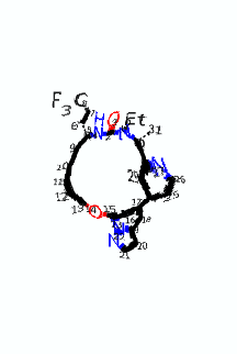 CCN1C(=O)N[C@@H](CCC(F)(F)F)CCCCCOc2cc(cc3ccnn23)-c2ccnc(c2)[C@H]1C